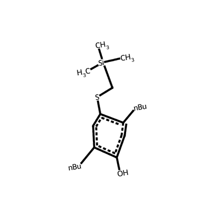 CCCCc1cc(SC[Si](C)(C)C)c(CCCC)cc1O